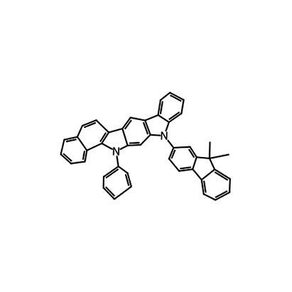 CC1(C)c2ccccc2-c2ccc(-n3c4ccccc4c4cc5c6ccc7ccccc7c6n(-c6ccccc6)c5cc43)cc21